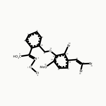 CCON=C(C(=O)O)c1ccccc1COc1c(OC)ccc(C=C(Br)Br)c1Br